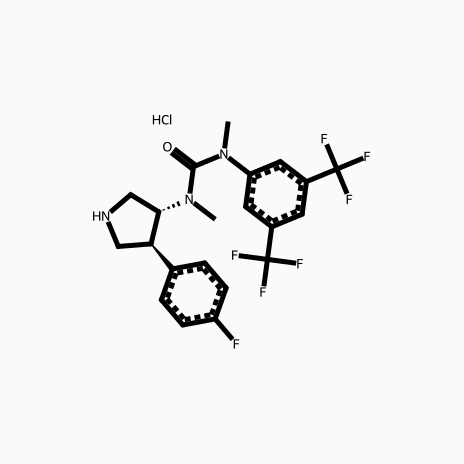 CN(C(=O)N(C)[C@H]1CNC[C@@H]1c1ccc(F)cc1)c1cc(C(F)(F)F)cc(C(F)(F)F)c1.Cl